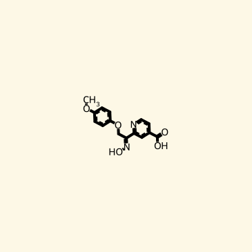 COc1ccc(OC/C(=N\O)c2cc(C(=O)O)ccn2)cc1